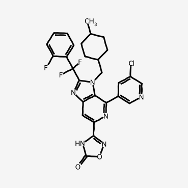 CC1CCC(Cn2c(C(F)(F)c3ccccc3F)nc3cc(-c4noc(=O)[nH]4)nc(-c4cncc(Cl)c4)c32)CC1